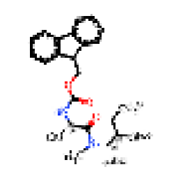 CC[C@H](C)[C@@H]([C@@H](CC(=O)O)OC)N(C)C(=O)[C@@H](NC(=O)OCC1c2ccccc2-c2ccccc21)C(C)(C)C